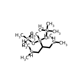 C[SiH](C)CC(C[SiH](C)C)[Si](C)(O[Si](C)(C)C)O[Si](C)(C)C